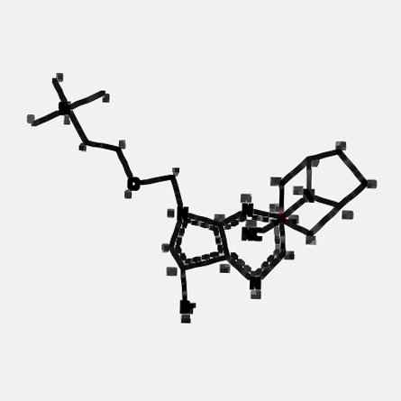 C[Si](C)(C)CCOCn1cc(Br)c2ncc(N3C4CCC3CC(C#N)C4)nc21